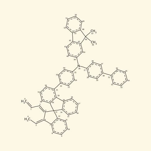 C=C/C=C1\C(=C/C)c2ccccc2C12c1ccccc1-c1c(-c3ccc(N(c4ccc(-c5ccccc5)cc4)c4ccc5c(c4)C(C)(C)c4ccccc4-5)cc3)cccc12